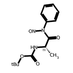 C[C@H](NC(=O)OC(C)(C)C)C(=O)N([N+]=O)c1ccccc1